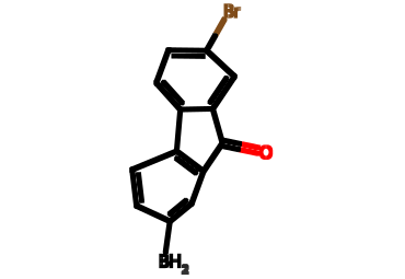 Bc1ccc2c(c1)C(=O)c1cc(Br)ccc1-2